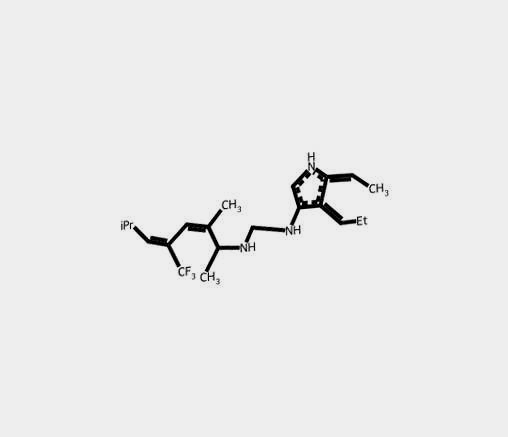 C/C=c1/[nH]cc(NCNC(C)/C(C)=C\C(=C/C(C)C)C(F)(F)F)/c1=C/CC